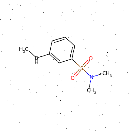 CBc1cccc(S(=O)(=O)N(C)C)c1